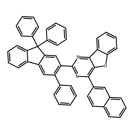 c1ccc(-c2cc3c(cc2-c2nc(-c4ccc5ccccc5c4)c4oc5ccccc5c4n2)C(c2ccccc2)(c2ccccc2)c2ccccc2-3)cc1